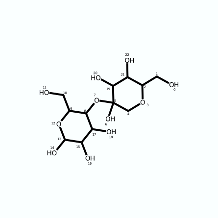 OCC1OCC(O)(OC2C(CO)OC(O)C(O)C2O)C(O)C1O